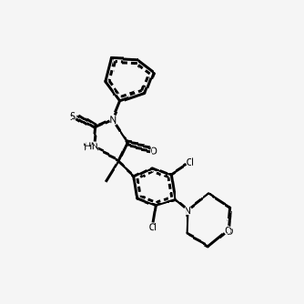 CC1(c2cc(Cl)c(N3CCOCC3)c(Cl)c2)NC(=S)N(c2ccccc2)C1=O